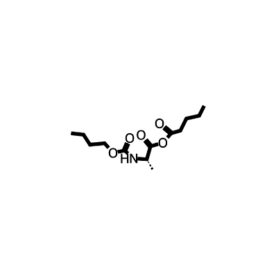 CCCCOC(=O)N[C@@H](C)C(=O)OC(=O)CCCC